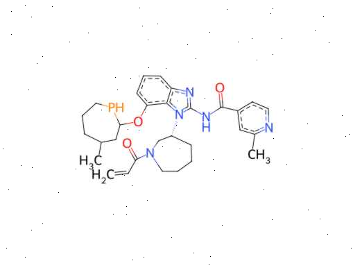 C=CC(=O)N1CCCC[C@@H](n2c(NC(=O)c3ccnc(C)c3)nc3cccc(OC4CC(C)CCCP4)c32)C1